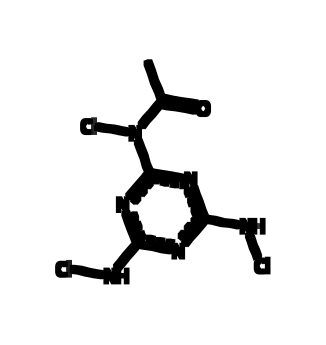 CC(=O)N(Cl)c1nc(NCl)nc(NCl)n1